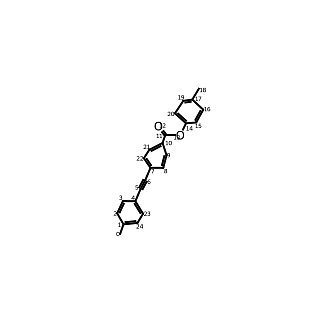 Cc1ccc(C#Cc2ccc(C(=O)Oc3ccc(C)cc3)cc2)cc1